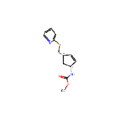 CC(C)(C)OC(=O)N[C@H]1C=C[C@@H](CSc2ccccn2)C1